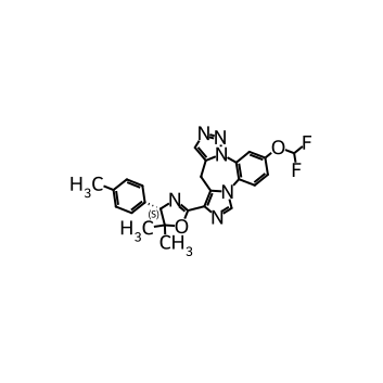 Cc1ccc([C@@H]2N=C(c3ncn4c3Cc3cnnn3-c3cc(OC(F)F)ccc3-4)OC2(C)C)cc1